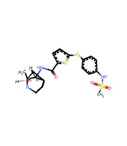 C[C@H]1[C@H](NC(=O)c2ccc(Sc3ccc(NS(C)(=O)=O)cc3)s2)C2CCN1CC2